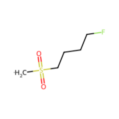 [CH2]S(=O)(=O)CCCCF